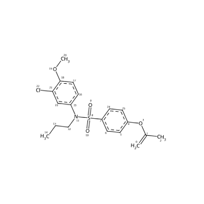 C=C(C)Oc1ccc(S(=O)(=O)N(CCC)c2ccc(OC)c(Cl)c2)cc1